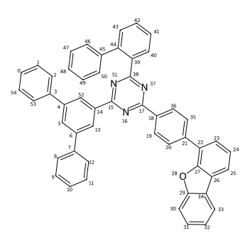 c1ccc(-c2cc(-c3ccccc3)cc(-c3nc(-c4ccc(-c5cccc6c5oc5ccccc56)cc4)nc(-c4ccccc4-c4ccccc4)n3)c2)cc1